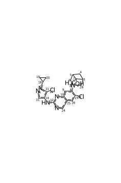 CC1(O)C2CC1CN(c1cc3nc(Nc4cnn(C5CC5)c4Cl)ncc3cc1Cl)C2